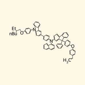 C=Cc1ccc(Oc2ccc(C3(c4ccccc4)c4ccccc4-c4ccc(N(c5ccc(-c6ccc7c(c6)c6ccccc6n7-c6ccc(OCC(CC)CCCC)cc6)cc5)c5cccc6ccccc56)cc43)cc2)cc1